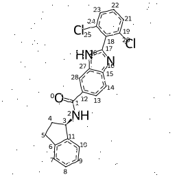 O=C(N[C@@H]1CCc2ccccc21)c1ccc2nc(-c3c(Cl)cccc3Cl)[nH]c2c1